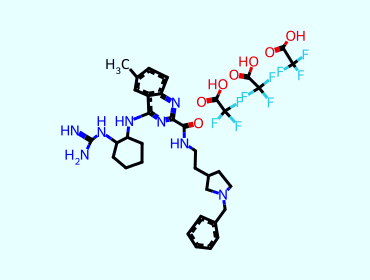 Cc1ccc2nc(C(=O)NCCC3CCN(Cc4ccccc4)C3)nc(NC3CCCCC3NC(=N)N)c2c1.O=C(O)C(F)(F)F.O=C(O)C(F)(F)F.O=C(O)C(F)(F)F